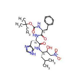 CC(C)C[C@H](NC(=O)[C@H](Cc1c[nH]cn1)NC(=O)[C@H](Cc1ccccc1)NC(=O)OC(C)(C)C)C(O)C[N+](=O)[O-]